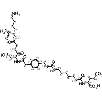 NCCCC[C@H](NC(=O)CNC(=O)[C@H](CC(=O)O)NC(=O)Cc1ccc(CNC(=O)NCCCCCNC(=O)N[C@@H](CCC(=O)O)C(=O)O)cc1)C(N)=O